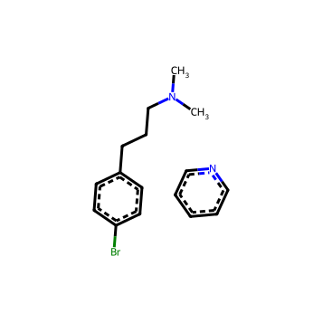 CN(C)CCCc1ccc(Br)cc1.c1ccncc1